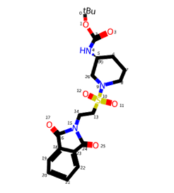 CC(C)(C)OC(=O)N[C@@H]1CCCN(S(=O)(=O)CCN2C(=O)c3ccccc3C2=O)C1